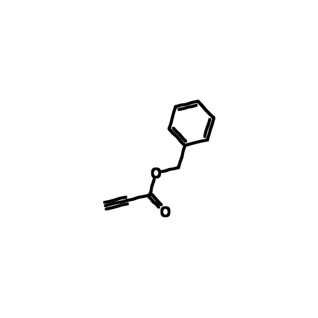 C#CC(=O)OCc1ccccc1